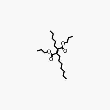 CCCCCCCC(C(=O)OCCC)=C(CCCCC)C(=O)OCCC